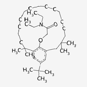 CCN(CC)C(=O)COc1c2cc(C(C)(C)C)cc1C(C)(C)CCCCCCCCCCCCCC(C)(C)C2